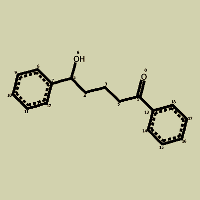 O=C(CCCC(O)c1ccccc1)c1ccccc1